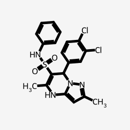 CC1=C(S(=O)(=O)Nc2ccccc2)C(c2ccc(Cl)c(Cl)c2)n2nc(C)cc2N1